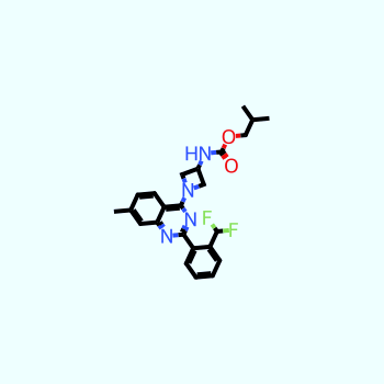 Cc1ccc2c(N3CC(NC(=O)OCC(C)C)C3)nc(-c3ccccc3C(F)F)nc2c1